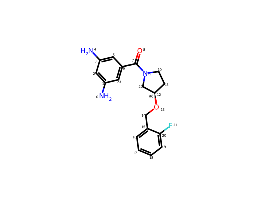 Nc1cc(N)cc(C(=O)N2CC[C@@H](OCc3ccccc3F)C2)c1